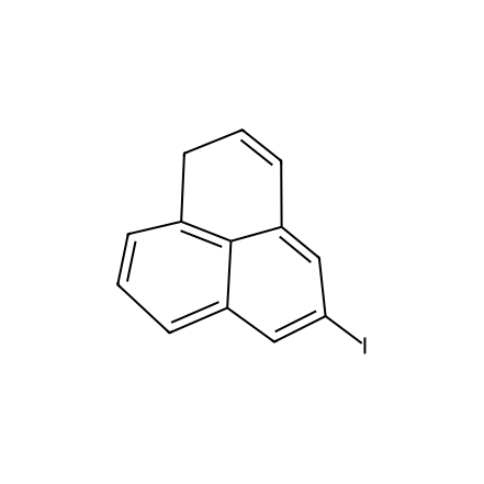 Ic1cc2c3c(cccc3c1)CC=C2